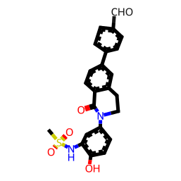 CS(=O)(=O)Nc1cc(N2CCc3cc(-c4ccc(C=O)cc4)ccc3C2=O)ccc1O